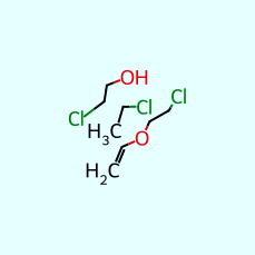 C=COCCCl.CCCl.OCCCl